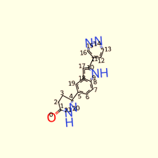 O=C1CCC(c2ccc3[nH]c(-c4ccnnc4)cc3c2)=NN1